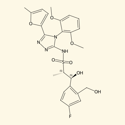 COc1cccc(OC)c1-n1c(NS(=O)(=O)[C@@H](C)[C@@H](O)c2ccc(F)cc2CO)nnc1-c1ccc(C)o1